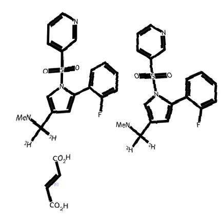 O=C(O)/C=C/C(=O)O.[2H]C([2H])(NC)c1cc(-c2ccccc2F)n(S(=O)(=O)c2cccnc2)c1.[2H]C([2H])(NC)c1cc(-c2ccccc2F)n(S(=O)(=O)c2cccnc2)c1